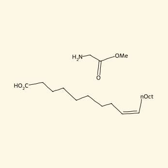 CCCCCCCC/C=C\CCCCCCCC(=O)O.COC(=O)CN